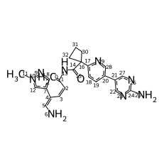 C=C(/C=C\C(=C/N)c1cnn(C)c1)NC(=O)C1(c2ccc(-c3cnc(N)nc3)cn2)CCC1